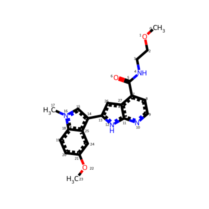 COCCNC(=O)c1ccnc2[nH]c(-c3cn(C)c4ccc(OC)cc34)cc12